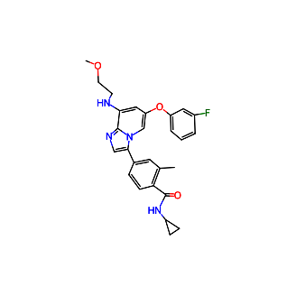 COCCNc1cc(Oc2cccc(F)c2)cn2c(-c3ccc(C(=O)NC4CC4)c(C)c3)cnc12